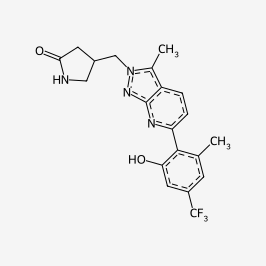 Cc1cc(C(F)(F)F)cc(O)c1-c1ccc2c(C)n(CC3CNC(=O)C3)nc2n1